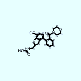 O=C(O)NCC1Cc2c(-c3ccccc3C(=O)N3CCOCC3)ccc(Cl)c2O1